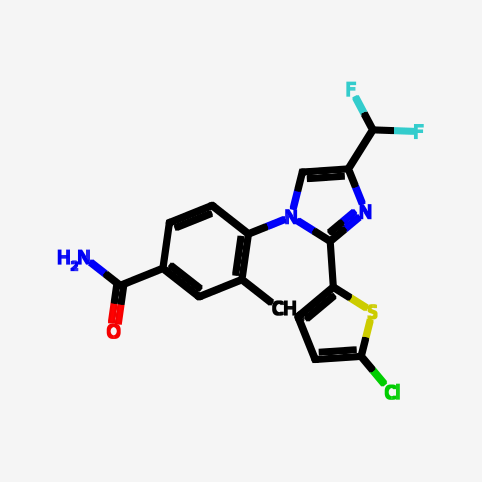 Cc1cc(C(N)=O)ccc1-n1cc(C(F)F)nc1-c1ccc(Cl)s1